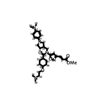 COC(=O)/C=C/c1cc(N(CC2CCN(c3ccc(N(C)C)cc3)C2)C(=O)C2CCC(OCCN(C)C)CC2)on1